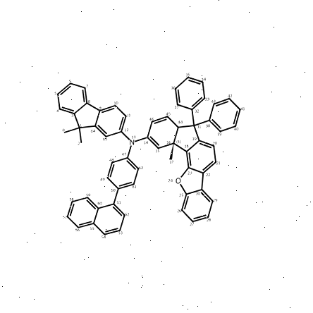 CC1(C)c2ccccc2-c2ccc(N(C3=C[C@@]4(C)c5c(ccc6c5oc5ccccc56)C(c5ccccc5)(c5ccccc5)C4C=C3)c3ccc(-c4cccc5ccccc45)cc3)cc21